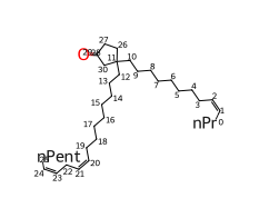 CCC/C=C\CCCCCCCCC1(CCCCCCCC/C=C\C/C=C\CCCCC)CCC(=O)C1